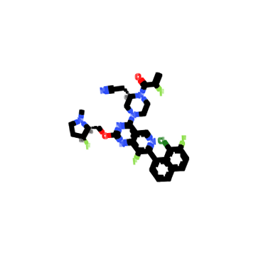 C=C(F)C(=O)N1CCN(c2nc(OC[C@@H]3[C@@H](F)CCN3C)nc3c(F)c(-c4cccc5ccc(F)c(Cl)c45)ncc23)C[C@@H]1CC#N